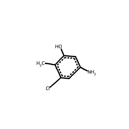 Cc1c(O)cc(N)cc1Cl